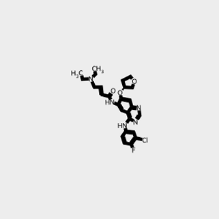 CCN(CC)C/C=C/C(=O)Nc1cc2c(Nc3ccc(F)c(Cl)c3)ncnc2cc1O[C@H]1CCOC1